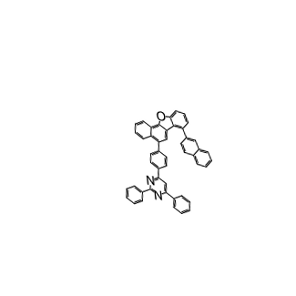 c1ccc(-c2cc(-c3ccc(-c4cc5c(oc6cccc(-c7ccc8ccccc8c7)c65)c5ccccc45)cc3)nc(-c3ccccc3)n2)cc1